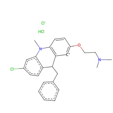 CN(C)CCOC1=[C+]C2=C(C=C1)N(C)c1cc(Cl)ccc1C2Cc1ccccc1.Cl.[Cl-]